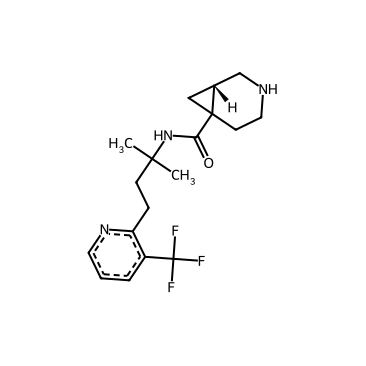 CC(C)(CCc1ncccc1C(F)(F)F)NC(=O)C12CCNC[C@H]1C2